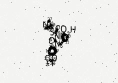 O=C(O)C(NC(=O)N(CC1CCCC1)c1ccc2c(c1)OC(F)(F)O2)Sc1cncs1